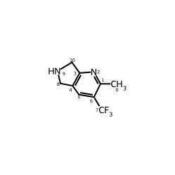 Cc1nc2c(cc1C(F)(F)F)CNC2